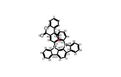 O=c1oc2ccccc2c2ccc(-n3c4ccccc4c4ccc5c6ccccc6n(-c6ccccc6)c5c43)cc12